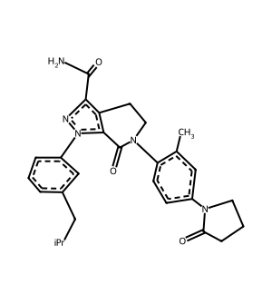 Cc1cc(N2CCCC2=O)ccc1N1CCc2c(C(N)=O)nn(-c3cccc(CC(C)C)c3)c2C1=O